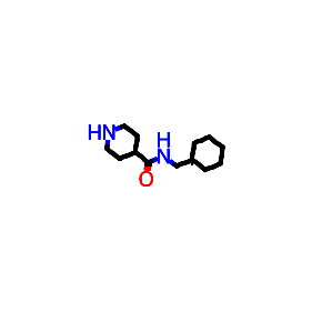 O=C(NC[C]1CCCCC1)C1CCNCC1